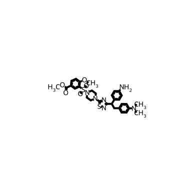 COC(=O)c1ccc(OC)c(S(=O)(=O)N2CCN(c3nc(C(Cc4ccc(N(C)C)cc4)c4ccc(N)cc4)ns3)CC2)c1